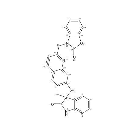 O=C1Nc2ncccc2C12Cc1cc3c#cc(Cn4c(=O)oc5ccccc54)nc3cc1C2